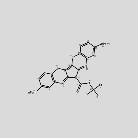 CCCCCc1ccc2c(c1)N=c1c(c3c(n1C(=O)OC(C)(C)CC)=Nc1cc(CCCCC)ccc1S3)S2